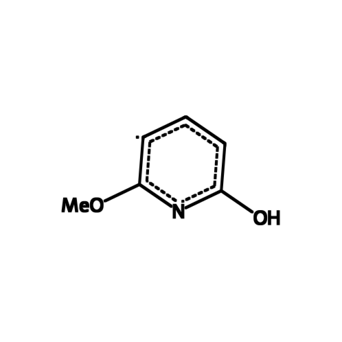 COc1[c]ccc(O)n1